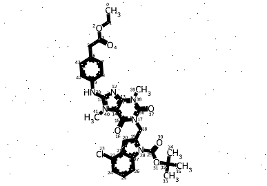 CCOC(=O)Cc1ccc(Nc2nc3c(c(=O)n(Cc4cc5c(Cl)cccc5n4C(=O)OC(C)(C)C)c(=O)n3C)n2C)cc1